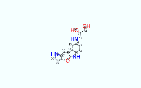 O=C1Nc2ccc(NCC(O)CO)cc2C1=Cc1ccc[nH]1